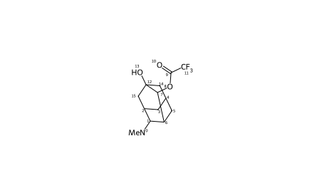 CNC1C2CC3CC1C(OC(=O)C(F)(F)F)C(O)(C3)C2